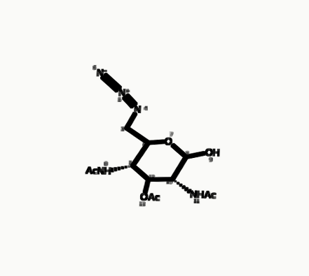 CC(=O)N[C@@H]1C(CN=[N+]=[N-])OC(O)[C@H](NC(C)=O)C1OC(C)=O